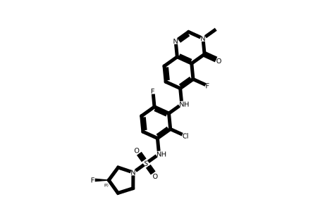 Cn1cnc2ccc(Nc3c(F)ccc(NS(=O)(=O)N4CC[C@@H](F)C4)c3Cl)c(F)c2c1=O